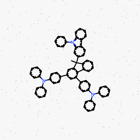 CC1(c2ccc3c4ccccc4n(-c4ccccc4)c3c2)c2ccccc2-c2c(-c3ccc(N(c4ccccc4)c4ccccc4)cc3)cc(-c3ccc(N(c4ccccc4)c4ccccc4)cc3)cc21